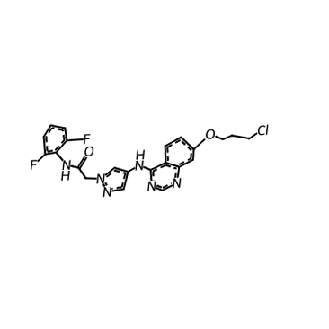 O=C(Cn1cc(Nc2ncnc3cc(OCCCCl)ccc23)cn1)Nc1c(F)cccc1F